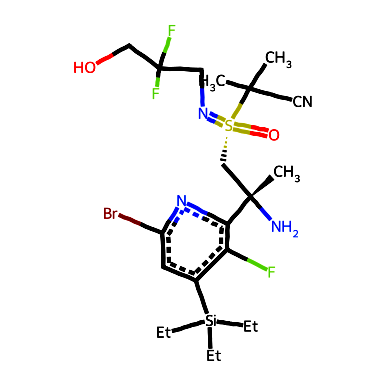 CC[Si](CC)(CC)c1cc(Br)nc([C@@](C)(N)C[S@](=O)(=NCC(F)(F)CO)C(C)(C)C#N)c1F